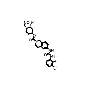 O=C(O)C[C@H]1CC[C@H](OC(=O)N2CCc3cc(NC(=O)Nc4cccc(Cl)c4F)ccc3C2)CC1